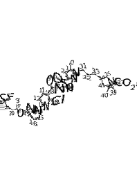 Cc1cc(S(=O)(=O)NC(=O)c2ccc(-n3ccc(OCCC4CC4C(F)(F)F)n3)nc2Cl)nn1CCCC1CN(C(=O)O)C(C)(C)C1